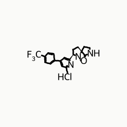 Cc1cc(-c2ccc(C(F)(F)F)cc2)cc([C@H]2CC[C@]3(CCNC3=O)N2C)n1.Cl